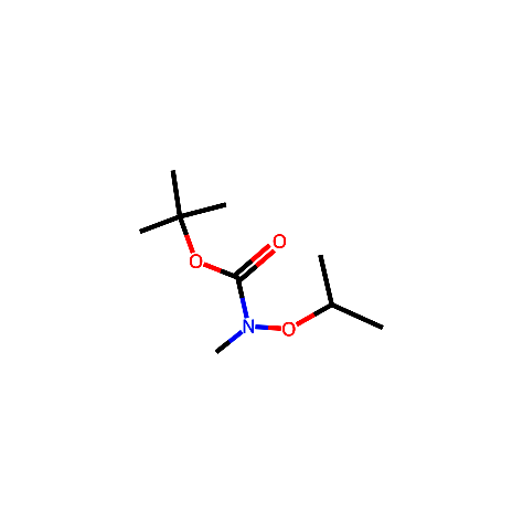 CC(C)ON(C)C(=O)OC(C)(C)C